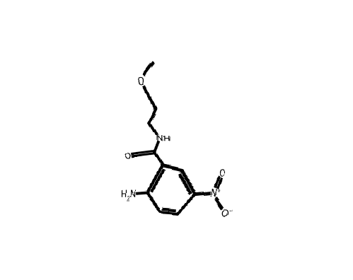 COCCNC(=O)c1cc([N+](=O)[O-])ccc1N